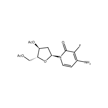 CC(=O)OC[C@H]1O[C@H](n2ccc(N)c(F)c2=O)C[C@@H]1OC(C)=O